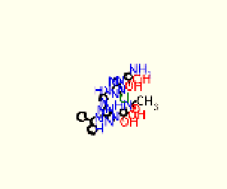 CCC(=O)N[C@H]1C[C@@H](n2cnc3c(NCC(c4ccccc4)c4ccccc4)nc(N4CCC(Nc5nc(Cl)nc6c5ncn6[C@@H]5C[C@H](N)[C@@H](O)[C@H]5O)C4)nc32)[C@H](O)[C@@H]1O